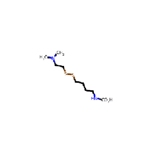 CN(C)CCSSCCCCNC(=O)O